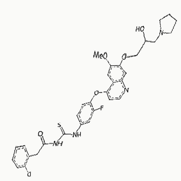 COc1cc2c(Oc3ccc(NC(=S)NC(=O)Cc4ccccc4Cl)cc3F)ccnc2cc1OCC(O)CN1CCCC1